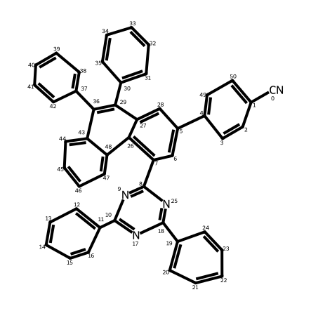 N#Cc1ccc(-c2cc(-c3nc(-c4ccccc4)nc(-c4ccccc4)n3)c3c(c2)c(-c2ccccc2)c(-c2ccccc2)c2ccccc23)cc1